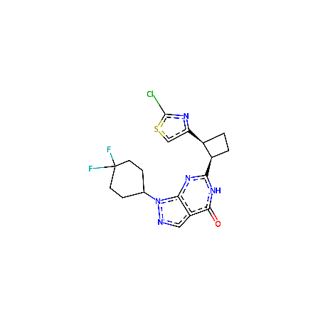 O=c1[nH]c([C@@H]2CC[C@@H]2c2csc(Cl)n2)nc2c1cnn2C1CCC(F)(F)CC1